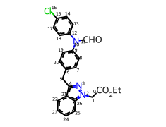 CCOC(=O)Cn1nc(Cc2ccc(N(C=O)c3ccc(Cl)cc3)cc2)c2ccccc21